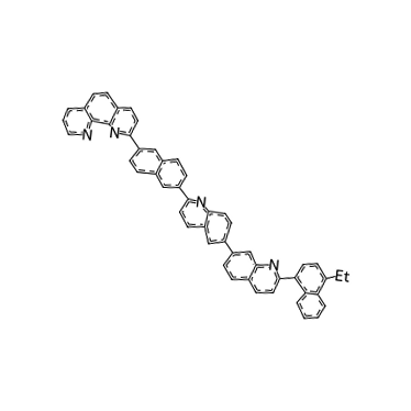 CCc1ccc(-c2ccc3ccc(-c4ccc5nc(-c6ccc7cc(-c8ccc9ccc%10cccnc%10c9n8)ccc7c6)ccc5c4)cc3n2)c2ccccc12